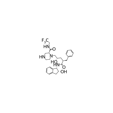 O=C(N[C@H]1c2ccccc2C[C@H]1O)[C@H](Cc1ccccc1)C[C@H](O)CN1CCNC[C@H]1C(=O)NCC(F)(F)F